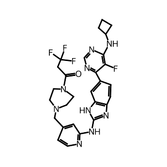 O=C(CC(F)(F)F)N1CCN(Cc2ccnc(Nc3nc4ccc(-c5ncnc(NC6CCC6)c5F)cc4[nH]3)c2)CC1